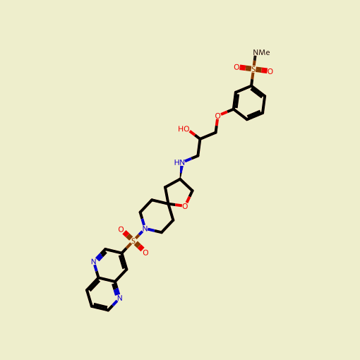 CNS(=O)(=O)c1cccc(OCC(O)CN[C@H]2COC3(CCN(S(=O)(=O)c4cnc5cccnc5c4)CC3)C2)c1